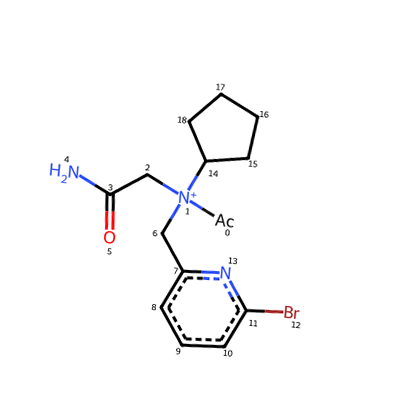 CC(=O)[N+](CC(N)=O)(Cc1cccc(Br)n1)C1CCCC1